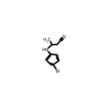 CC(CC#N)Nc1ccc(Br)cc1